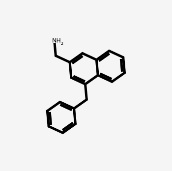 NCc1cc(Cc2ccccc2)c2ccccc2c1